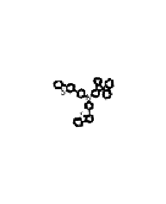 c1ccc(C2(c3ccccc3)c3ccccc3-c3cc(N(c4ccc(-c5ccc6c(c5)sc5ccccc56)cc4)c4ccc(-c5cccc6c5sc5ccccc56)cc4)ccc32)cc1